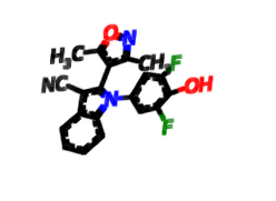 Cc1noc(C)c1-c1c(C#N)c2ccccc2n1-c1cc(F)c(O)c(F)c1